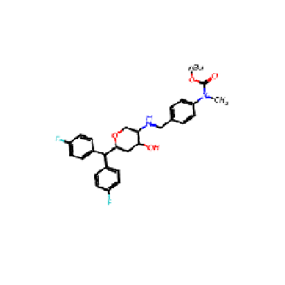 CCCCOC(=O)N(C)c1ccc(CNC2COC(C(c3ccc(F)cc3)c3ccc(F)cc3)CC2O)cc1